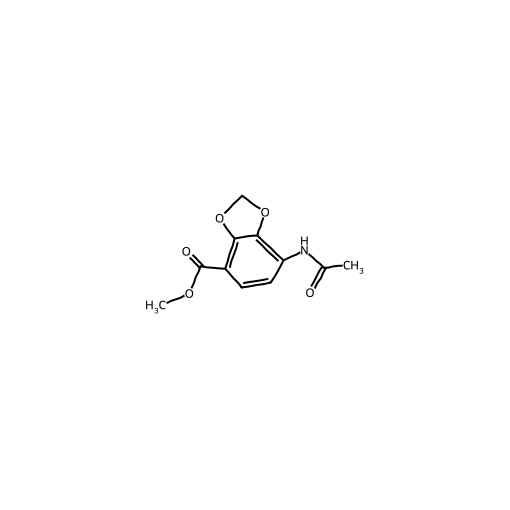 COC(=O)c1ccc(NC(C)=O)c2c1OCO2